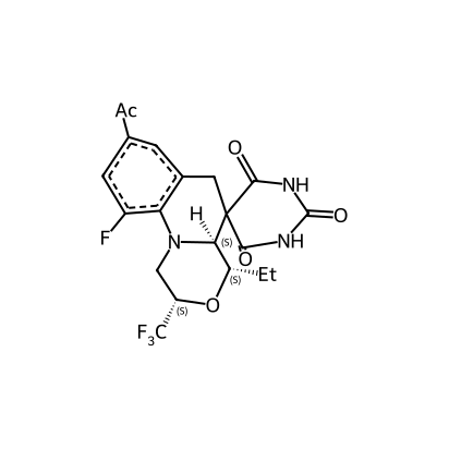 CC[C@@H]1O[C@H](C(F)(F)F)CN2c3c(F)cc(C(C)=O)cc3CC3(C(=O)NC(=O)NC3=O)[C@@H]12